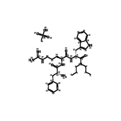 CCCN(CCC)C(=O)[C@@H](Cc1c[nH]c2ccccc12)NC(=O)[C@H](CCCNC(=N)N)NC(=O)[C@H](N)Cc1ccccc1.CS(=O)(=O)O